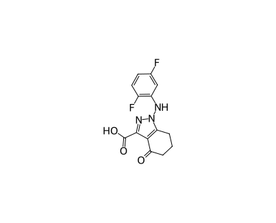 O=C(O)c1nn(Nc2cc(F)ccc2F)c2c1C(=O)CCC2